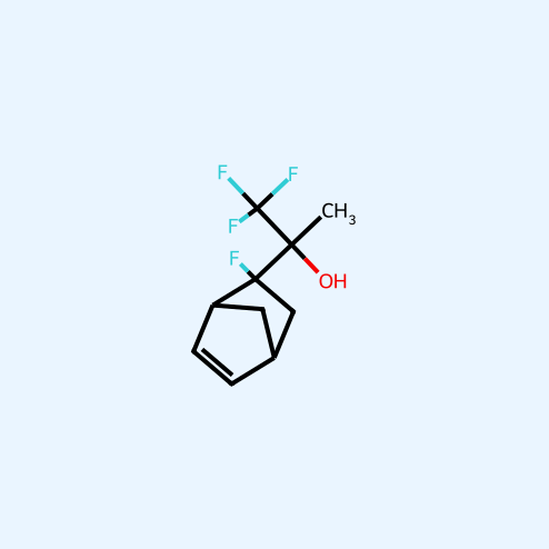 CC(O)(C(F)(F)F)C1(F)CC2C=CC1C2